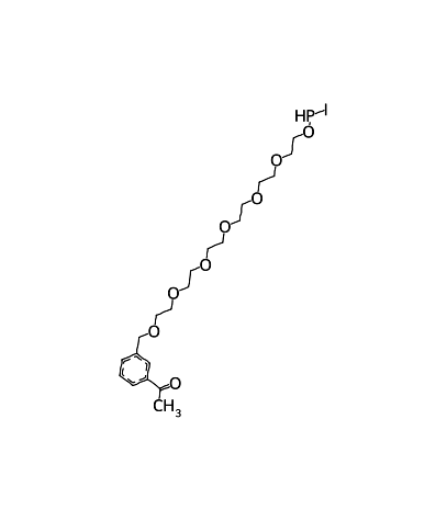 CC(=O)c1cccc(COCCOCCOCCOCCOCCOCCOPI)c1